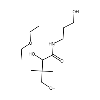 CC(C)(CO)C(O)C(=O)NCCCO.CCOCC